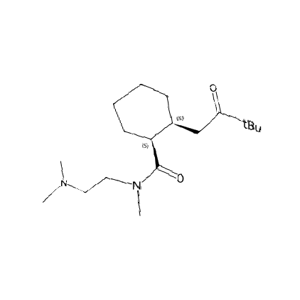 CN(C)CCN(C)C(=O)[C@H]1CCCC[C@H]1CC(=O)C(C)(C)C